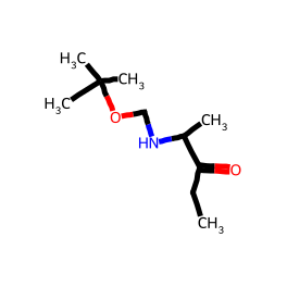 CCC(=O)C(C)NCOC(C)(C)C